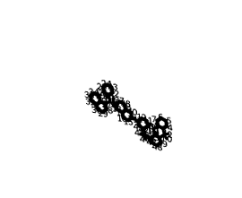 CC1(C)c2ccccc2N2c3ccc(-c4ccc5cc(N(c6ccccc6)c6cccc7ccccc67)ccc5c4)cc3C(C)(C)c3cccc1c32